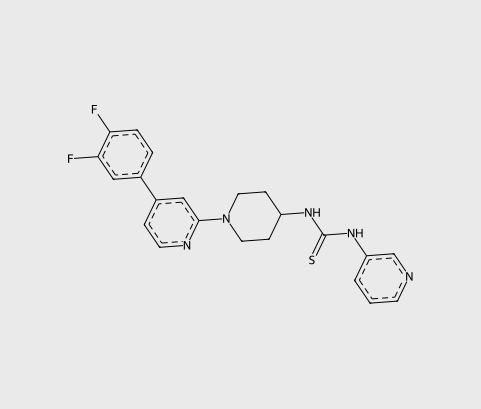 Fc1ccc(-c2ccnc(N3CCC(NC(=S)Nc4cccnc4)CC3)c2)cc1F